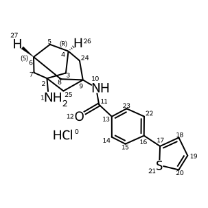 Cl.NC12C[C@H]3C[C@@H](C1)CC(NC(=O)c1ccc(-c4cccs4)cc1)(C3)C2